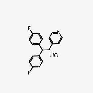 Cl.Fc1ccc(C(Cc2ccncc2)c2ccc(F)cc2)cc1